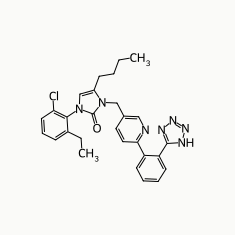 CCCCc1cn(-c2c(Cl)cccc2CC)c(=O)n1Cc1ccc(-c2ccccc2-c2nnn[nH]2)nc1